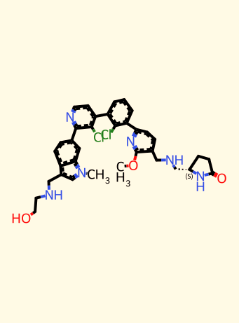 COc1nc(-c2cccc(-c3ccnc(-c4ccc5c(CNCCO)cn(C)c5c4)c3Cl)c2Cl)ccc1CNC[C@@H]1CCC(=O)N1